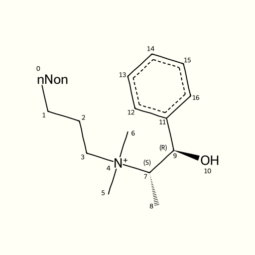 CCCCCCCCCCCC[N+](C)(C)[C@@H](C)[C@H](O)c1ccccc1